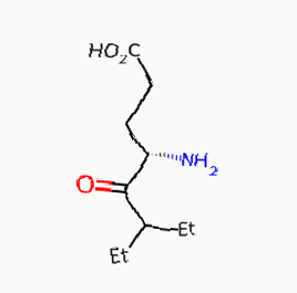 CCC(CC)C(=O)[C@@H](N)CCC(=O)O